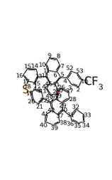 FC(F)(F)c1ccc(-c2c3ccccc3c(-c3cccc4sc5ccc(-c6c7ccccc7c(-c7ccccc7)c7ccccc67)cc5c34)c3ccccc23)cc1